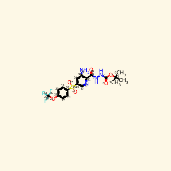 CC(C)(C)OC(=O)NNC(=O)c1ncc(S(=O)(=O)c2ccc(OC(F)(F)F)cc2)cc1N